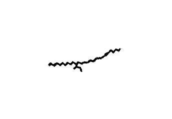 [CH2]CCCCC#CCCCCCCCCC(CCCCCCCCC[CH2])C(C)CC